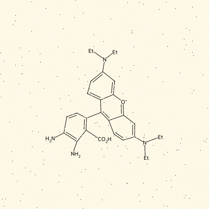 CCN(CC)c1ccc2c(-c3ccc(N)c(N)c3C(=O)O)c3ccc(N(CC)CC)cc3[o+]c2c1